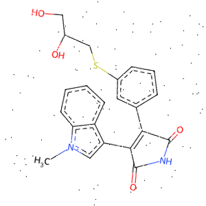 Cn1cc(C2=C(c3cccc(SCC(O)CO)c3)C(=O)NC2=O)c2ccccc21